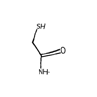 [NH]C(=O)CS